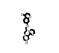 O=c1ccoc2cc(OCCCN3CCNCC3c3ncccn3)ccc12